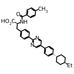 CC[C@H]1CC[C@H](c2ccc(-c3cnc(-c4ccc(C[C@H](NC(=O)c5ccc(C)cc5)C(=O)O)cc4)nc3)cc2)CC1